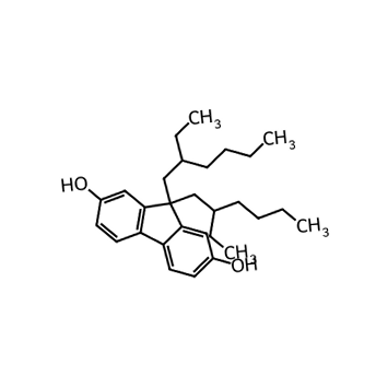 CCCCC(CC)CC1(CC(CC)CCCC)c2cc(O)ccc2-c2ccc(O)cc21